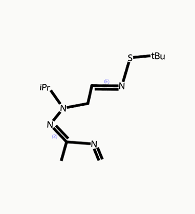 C=N/C(C)=N\N(C/C=N/SC(C)(C)C)C(C)C